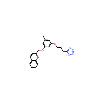 Cc1cc(OCCCc2nnn[nH]2)cc(OCc2ccc3ccccc3n2)c1